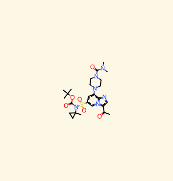 CC(=O)c1cnc2c(N3CCN(C(=O)N(C)C)CC3)cc(S(=O)(=O)N(C(=O)OC(C)(C)C)C3(C)CC3)cn12